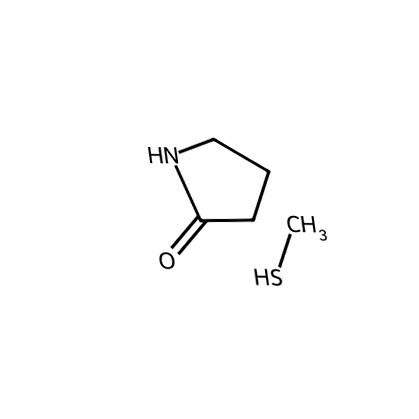 CS.O=C1CCCN1